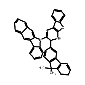 CC1(C)C2=C(C=CCC2)c2cc(C3Nc4oc5ccccc5c4N=C3n3c4ccccc4c4cc5ccccc5cc43)ccc21